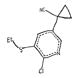 CCSc1cc(C2(C#N)CC2)cnc1Cl